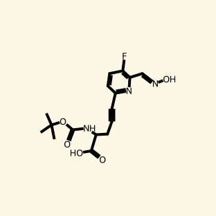 CC(C)(C)OC(=O)NC(CC#Cc1ccc(F)c(C=NO)n1)C(=O)O